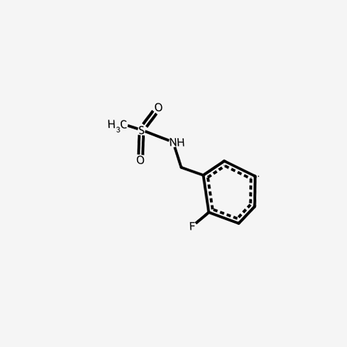 CS(=O)(=O)NCc1c[c]ccc1F